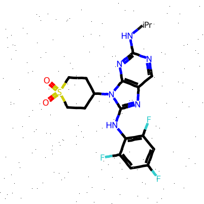 CC(C)Nc1ncc2nc(Nc3c(F)cc(F)cc3F)n(C3CCS(=O)(=O)CC3)c2n1